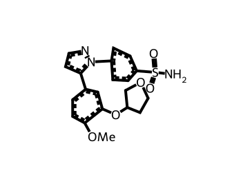 COc1ccc(-c2ccnn2-c2ccc(S(N)(=O)=O)cc2)cc1OC1CCOC1